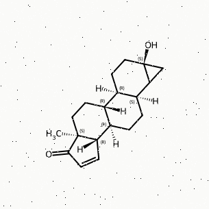 C[C@]12CC[C@@H]3[C@H]4CC[C@]5(O)CC5[C@H]4CC[C@H]3[C@@H]1C=CC2=O